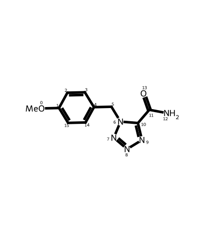 COc1ccc(Cn2nnnc2C(N)=O)cc1